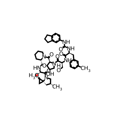 Cc1cccc(C[C@H](NC(=O)Nc2ccc3c(c2)CCC3)C(=O)N[C@@H](CO)C(=O)N2C[C@H](O)C[C@H]2C(=O)N2CCCC[C@H]2C(=O)N[C@@H](C)C(=O)N2C[C@H](C)C[C@@]23CC3=O)c1